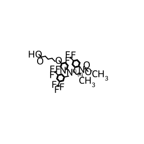 CCOC(=O)N1c2ccc(C(F)(F)F)cc2[C@@H](N(Cc2cc(C(F)(F)F)cc(C(F)(F)F)c2)c2ccc(OCCCCC(=O)O)cn2)C[C@H]1CC